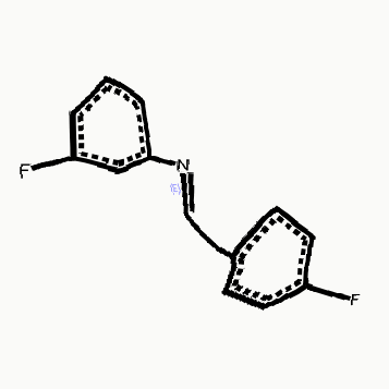 Fc1ccc(/C=N/c2cccc(F)c2)cc1